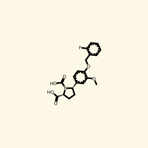 COc1cc([C@H]2CC[C@@H](C(=O)O)N2C(=O)O)ccc1OCc1ccccc1F